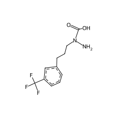 NN(CCCc1cccc(C(F)(F)F)c1)C(=O)O